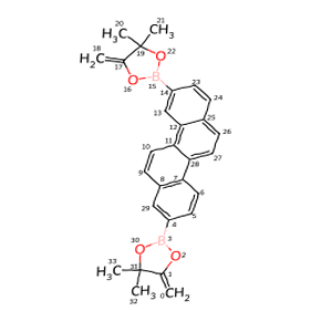 C=C1OB(c2ccc3c(ccc4c5cc(B6OC(=C)C(C)(C)O6)ccc5ccc34)c2)OC1(C)C